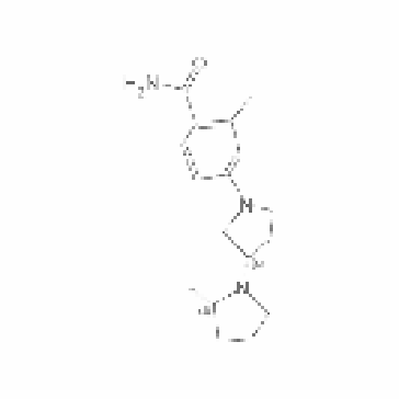 Cc1cc(N2CC[C@H](N3CCC[C@@H]3C)C2)ccc1C(N)=O